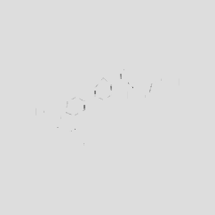 COC(=O)CNC(=O)c1ccc(-c2ccc(OC)c(C34CC5CC(CC(C5)C3)C4)c2)cc1